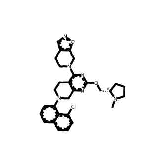 CN1CCC[C@H]1COc1nc2c(c(N3CCc4cnoc4C3)n1)CCN(c1cccc3cccc(Cl)c13)C2